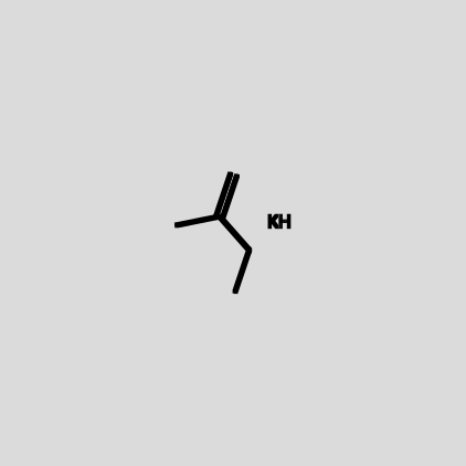 C=C(C)CC.[KH]